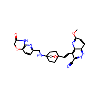 COc1ccc2nnc(C#N)c(/C=C/C34CCC(NCc5ccc6c(n5)NC(=O)CO6)(CC3)CO4)c2n1